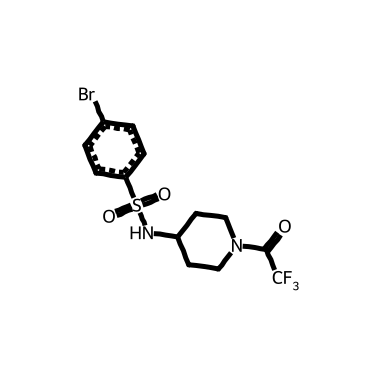 O=C(N1CCC(NS(=O)(=O)c2ccc(Br)cc2)CC1)C(F)(F)F